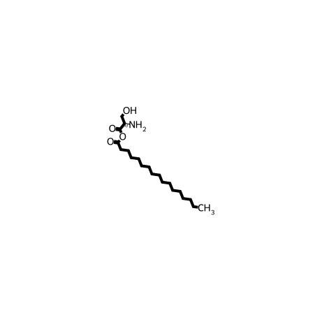 CCCCCCCCCCCCCCCCC(=O)OC(=O)[C@@H](N)CO